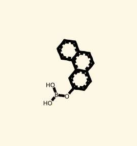 OB(O)Oc1ccc2ccc3ccccc3c2c1